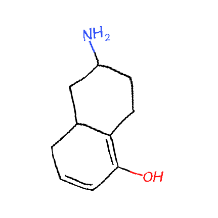 NC1CCC2=C(O)C=CCC2C1